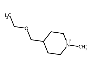 [CH2-][NH+]1CCC(COCC)CC1